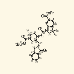 CCCC(=O)c1cnc2c(c1)N(C(=O)CN1C[C@@H](C)N(C(=O)OC(C)(C)C)C[C@@H]1CN1Cc3ccccc3C1=O)CC2(C)C